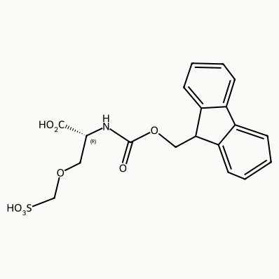 O=C(N[C@H](COCS(=O)(=O)O)C(=O)O)OCC1c2ccccc2-c2ccccc21